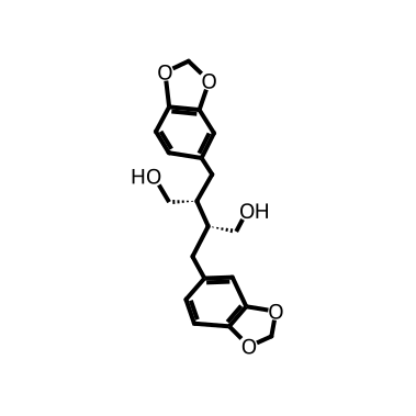 OC[C@H](Cc1ccc2c(c1)OCO2)[C@H](CO)Cc1ccc2c(c1)OCO2